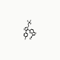 N#Cc1cnc2ccc(-c3c(-c4ccc(F)cc4)ncn3CCC(F)(F)F)nn12